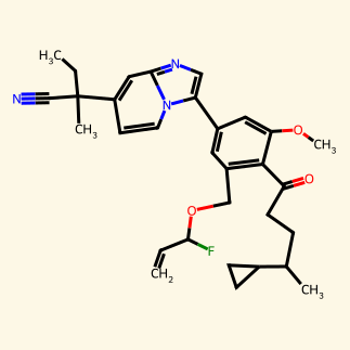 C=CC(F)OCc1cc(-c2cnc3cc(C(C)(C#N)CC)ccn23)cc(OC)c1C(=O)CCC(C)C1CC1